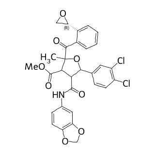 COC(=O)C1C(C(=O)Nc2ccc3c(c2)OCO3)C(c2ccc(Cl)c(Cl)c2)OC1(C)C(=O)c1ccccc1[C@@H]1CO1